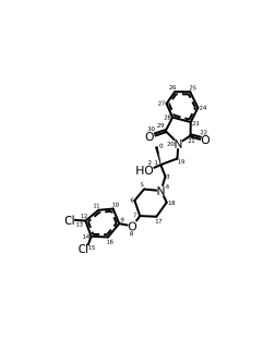 C[C@](O)(CN1CCC(Oc2ccc(Cl)c(Cl)c2)CC1)CN1C(=O)c2ccccc2C1=O